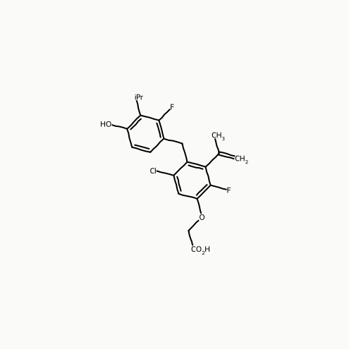 C=C(C)c1c(F)c(OCC(=O)O)cc(Cl)c1Cc1ccc(O)c(C(C)C)c1F